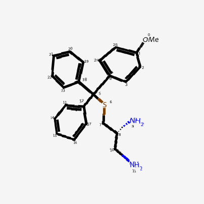 COc1ccc(C(SC[C@H](N)CN)(c2ccccc2)c2ccccc2)cc1